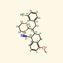 COc1cccc2c1CCC(C(Cc1cccc(F)c1)C1SCCCS1)C2C#N